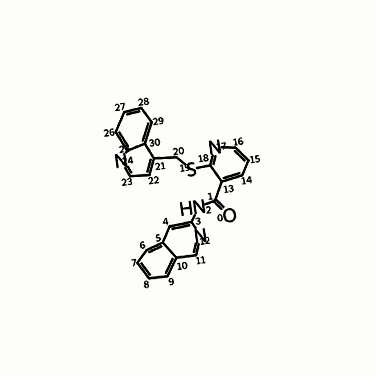 O=C(Nc1cc2ccccc2cn1)c1cccnc1SCc1ccnc2ccccc12